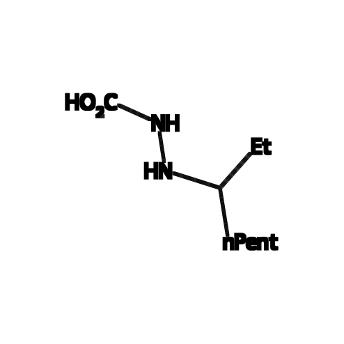 CCCCCC(CC)NNC(=O)O